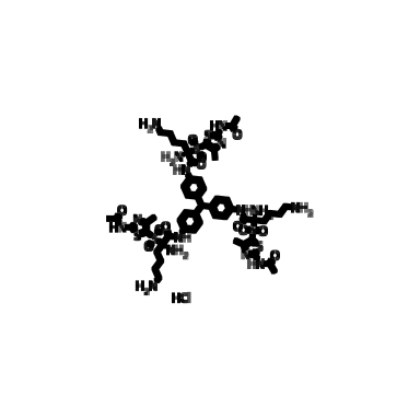 CC(=O)Nc1nc(C)c(S(=O)(=O)[C@@](N)(CCCCN)C(=O)Nc2ccc(C(c3ccc(NC(=O)[C@](N)(CCCCN)S(=O)(=O)c4sc(NC(C)=O)nc4C)cc3)c3ccc(NC(=O)[C@](N)(CCCCN)S(=O)(=O)c4sc(NC(C)=O)nc4C)cc3)cc2)s1.Cl